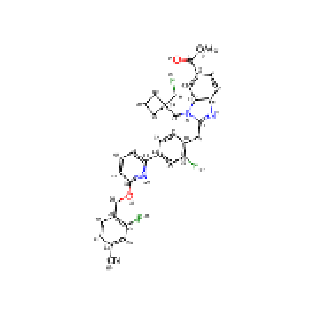 COC(=O)c1ccc2nc(Cc3ccc(-c4cccc(OCc5ccc(C#N)cc5F)n4)cc3F)n(CC3(CF)CCC3)c2c1